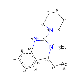 CCN1C(N2CCCCC2)=Nc2ccccc2C1CC(C)=O